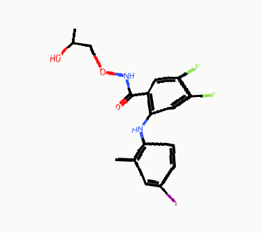 Cc1cc(I)ccc1Nc1cc(F)c(F)cc1C(=O)NOCC(C)O